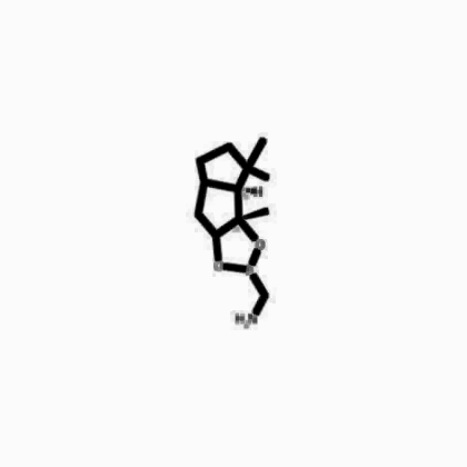 CC1(C)CCC2CC3OB(CN)O[C@@]3(C)[C@@H]21